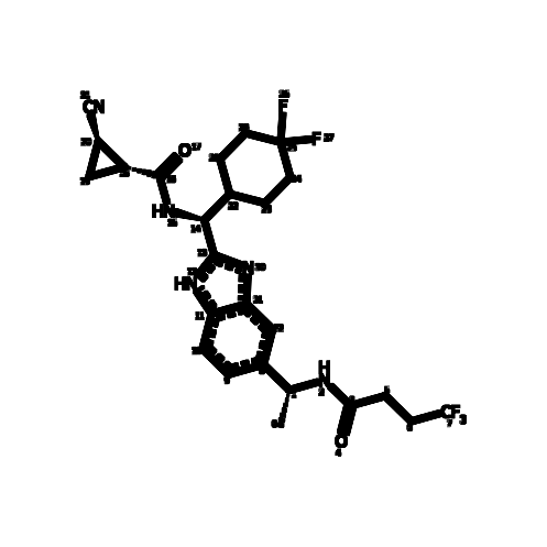 C[C@@H](NC(=O)CCC(F)(F)F)c1ccc2[nH]c([C@@H](NC(=O)[C@@H]3C[C@H]3C#N)C3CCC(F)(F)CC3)nc2c1